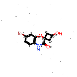 O=C1Nc2ccc(Br)cc2OC12CC(O)C2